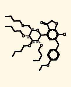 CCCCOC[C@H]1OC(c2cc(Cc3ccc(OCC)cc3)c(Cl)c3c2C(=O)CO3)[C@H](OCCCC)[C@@H](OCCCC)[C@@H]1OCCCC